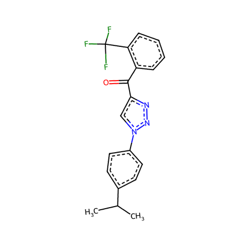 CC(C)c1ccc(-n2cc(C(=O)c3ccccc3C(F)(F)F)nn2)cc1